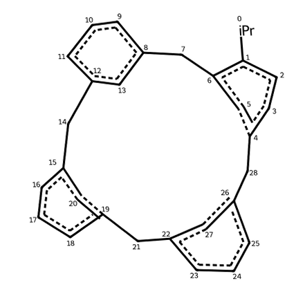 CC(C)c1ccc2cc1Cc1cccc(c1)Cc1cccc(c1)Cc1cccc(c1)C2